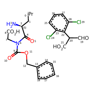 CC(C)C[C@H](N)C(=O)N(CC(=O)O)C(=O)OCc1ccccc1.O=CC(C(=O)O)c1c(Cl)cccc1Cl